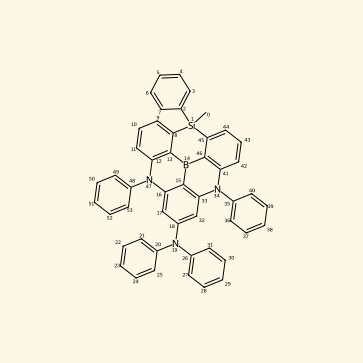 C[Si]1(c2ccccc2)c2cccc3c2B2c4c(cc(N(c5ccccc5)c5ccccc5)cc4N(c4ccccc4)c4cccc1c42)N3c1ccccc1